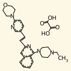 CCN1CCN(c2nc(C=Cc3ccc(N4CCOCC4)nc3)cc3ccccc23)CC1.O=C(O)C(=O)O